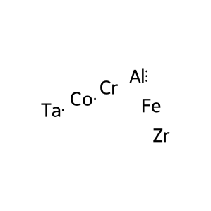 [Al].[Co].[Cr].[Fe].[Ta].[Zr]